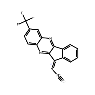 [C-]#[N+]/N=C1\c2ccccc2-c2nc3cc(C(F)(F)F)ccc3nc21